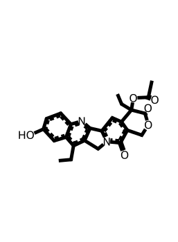 CCc1c2c(nc3ccc(O)cc13)-c1cc3c(c(=O)n1C2)COC(=O)C3(CC)OC(C)=O